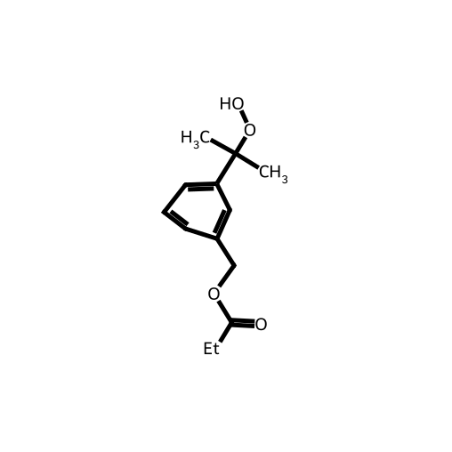 CCC(=O)OCc1cccc(C(C)(C)OO)c1